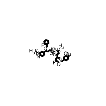 Cc1cc(-c2cc(F)c(=O)n(Cc3ccc4c(c3)OCO4)c2)nc(S(=O)(=O)CCC(OCc2ccccc2F)c2ccc3ncn(C)c3c2)n1